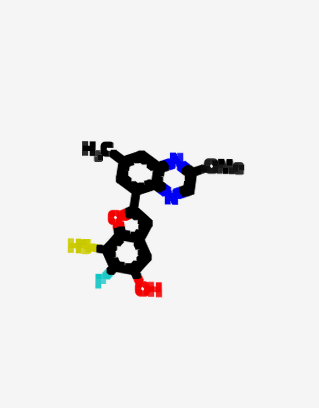 COc1cnc2c(-c3cc4cc(O)c(F)c(S)c4o3)cc(C)cc2n1